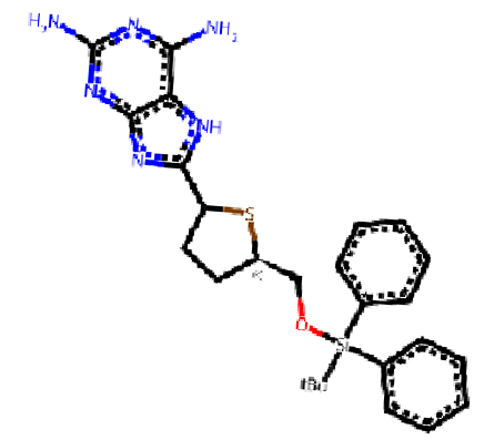 CC(C)(C)[Si](OC[C@H]1CCC(c2nc3nc(N)nc(N)c3[nH]2)S1)(c1ccccc1)c1ccccc1